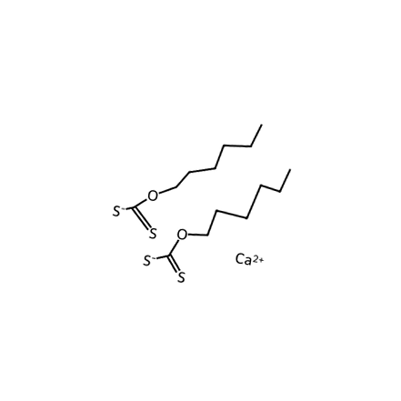 CCCCCCOC(=S)[S-].CCCCCCOC(=S)[S-].[Ca+2]